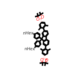 CCCCCCc1ccc(C2(c3ccc(CCCCCC)cc3)c3cc(-c4c(C)cc(B5OC(C)(C)C(C)(C)O5)cc4C)ccc3-c3ccc(-c4c(C)cc(B5OC(C)(C)C(C)(C)O5)cc4C)cc32)cc1